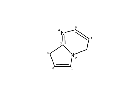 C1=CN2CC=CN=C2C1